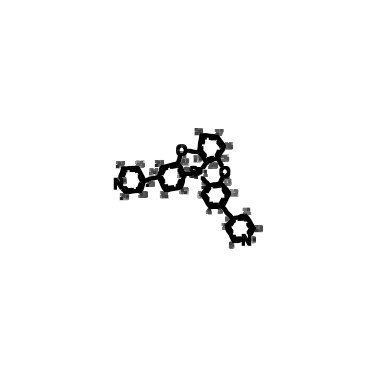 S=P12c3ccc(-c4ccncc4)cc3Oc3cccc(c31)Oc1cc(-c3ccncc3)ccc12